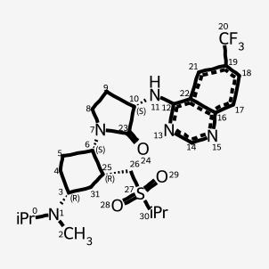 CC(C)N(C)[C@@H]1CC[C@H](N2CC[C@H](Nc3ncnc4ccc(C(F)(F)F)cc34)C2=O)[C@H](CS(=O)(=O)C(C)C)C1